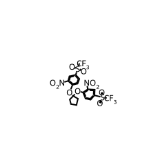 O=[N+]([O-])c1cc(S(=O)(=O)C(F)(F)F)ccc1OC1(Oc2ccc(S(=O)(=O)C(F)(F)F)cc2[N+](=O)[O-])CCCC1